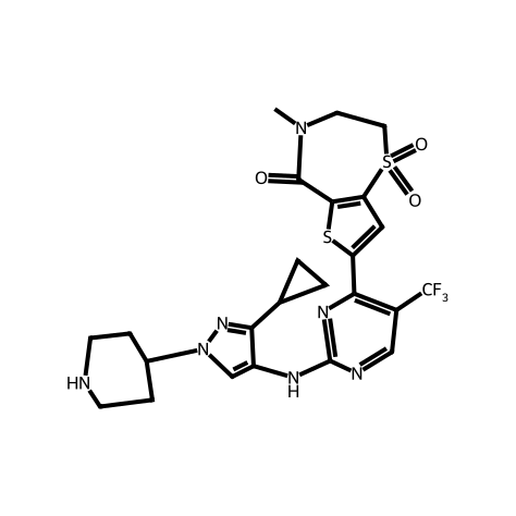 CN1CCS(=O)(=O)c2cc(-c3nc(Nc4cn(C5CCNCC5)nc4C4CC4)ncc3C(F)(F)F)sc2C1=O